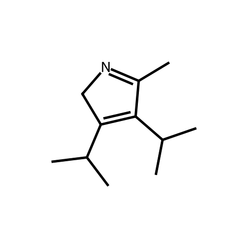 CC1=NCC(C(C)C)=C1C(C)C